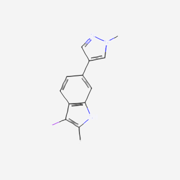 Cc1[nH]c2cc(-c3cnn(C)c3)ccc2c1I